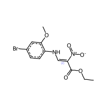 CCOC(=O)/C(=C/Nc1ccc(Br)cc1OC)[N+](=O)[O-]